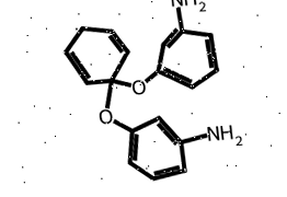 Nc1cccc(OC2(Oc3cccc(N)c3)C=C[CH]C=C2)c1